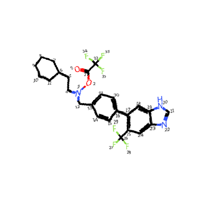 O=C(ON(CCC1CCCCC1)Cc1ccc(-c2cc3[nH]cnc3cc2C(F)(F)F)cc1)C(F)(F)F